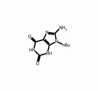 CCCCn1c(N)nc2c(=O)[nH]c(=O)[nH]c21